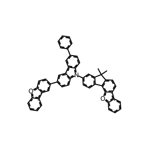 CC1(C)c2cc(-n3c4ccc(-c5ccccc5)cc4c4cc(-c5ccc6oc7ccccc7c6c5)ccc43)ccc2-c2c1ccc1c2oc2ccccc21